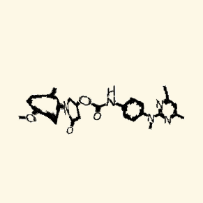 COc1ccc(C)c(N2CC(OC(=O)Nc3ccc(N(C)c4nc(C)cc(C)n4)cc3)CC2=O)c1